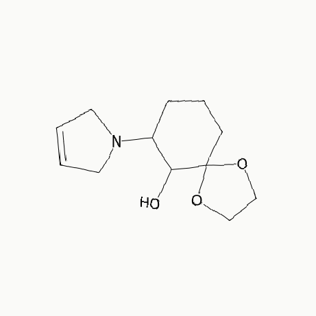 OC1C(N2CC=CC2)CCCC12OCCO2